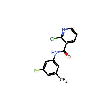 O=C(Nc1cc(F)cc(C(F)(F)F)c1)c1cccnc1Cl